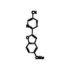 COc1ccc2oc(-c3ccc(C#N)cn3)cc2c1